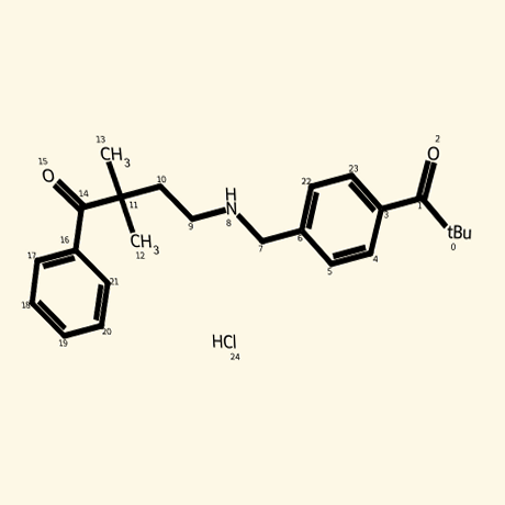 CC(C)(C)C(=O)c1ccc(CNCCC(C)(C)C(=O)c2ccccc2)cc1.Cl